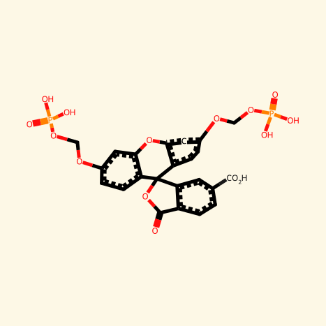 O=C(O)c1ccc2c(c1)C1(OC2=O)c2ccc(OCOP(=O)(O)O)cc2Oc2cc(OCOP(=O)(O)O)ccc21